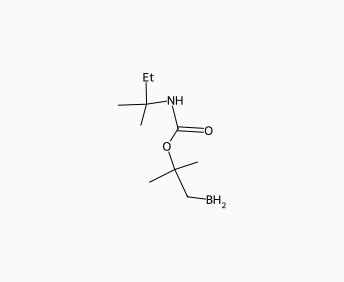 BCC(C)(C)OC(=O)NC(C)(C)CC